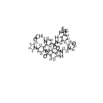 COCC1CCCN1c1ccc(NC(=O)c2cccc(C(=O)NCCN3CCOCC3)c2)c(-c2cc(C(=O)NCc3cccc(C(F)(F)F)c3)ccn2)c1